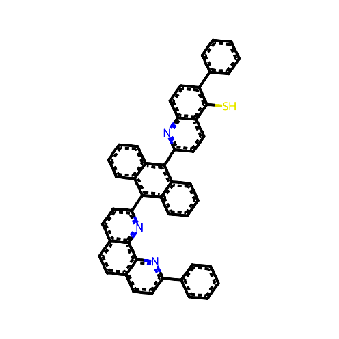 Sc1c(-c2ccccc2)ccc2nc(-c3c4ccccc4c(-c4ccc5ccc6ccc(-c7ccccc7)nc6c5n4)c4ccccc34)ccc12